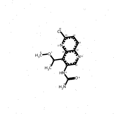 COC(C)c1c(NC(N)=O)cnc2ccc(Cl)nc12